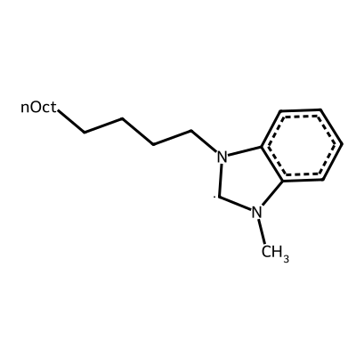 CCCCCCCCCCCCN1[CH]N(C)c2ccccc21